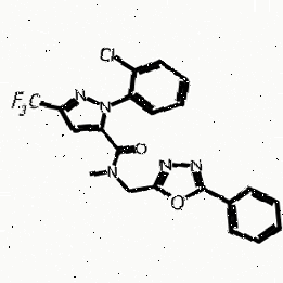 CN(Cc1nnc(-c2ccccc2)o1)C(=O)c1cc(C(F)(F)F)nn1-c1ccccc1Cl